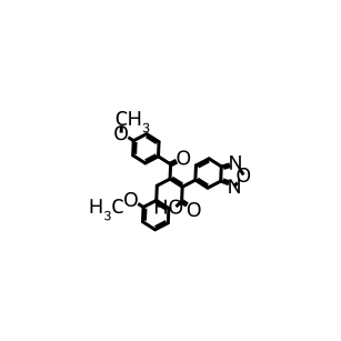 COc1ccc(C(=O)C(Cc2ccccc2OC)=C(C(=O)O)c2ccc3nonc3c2)cc1